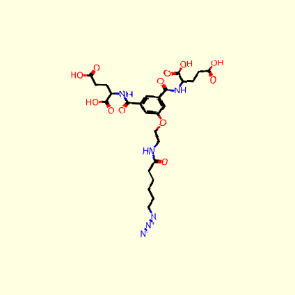 [N-]=[N+]=NCCCCCC(=O)NCCOc1cc(C(=O)NC(CCC(=O)O)C(=O)O)cc(C(=O)NC(CCC(=O)O)C(=O)O)c1